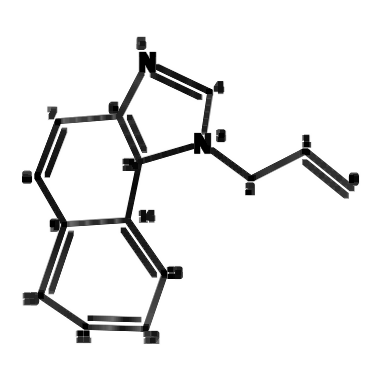 C=CCn1cnc2ccc3ccccc3c21